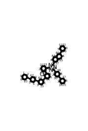 c1ccc(-c2ccc(-c3cccc(-c4cccc5c4oc4cccc(-c6nc(-c7ccc(-c8ccccc8)cc7)nc(-c7ccc8cc(-c9ccccc9)ccc8c7)n6)c45)c3)cc2)cc1